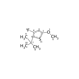 COc1cc(F)c(C(C)(C)C)s1